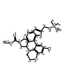 CC(C)(C)OC(=O)N1CCC(N2CCOc3cc(Cl)cc(-c4ccnc5cc(CO[Si](C)(C)C(C)(C)C)sc45)c32)C1